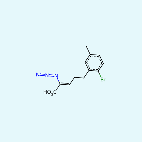 Cc1ccc(Br)c(CCC=C(N=[N+]=[N-])C(=O)O)c1